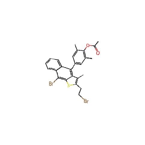 CC(=O)Oc1c(C)cc(-c2c3ccccc3c(Br)c3sc(CCBr)c(C)c23)cc1C